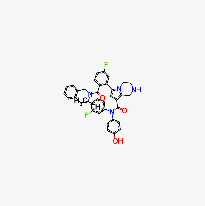 Cc1ccc(N(C(=O)c2cc(-c3cc(F)ccc3C(=O)N3Cc4ccccc4C[C@H]3C)n3c2CNCC3)c2ccc(O)cc2)cc1F